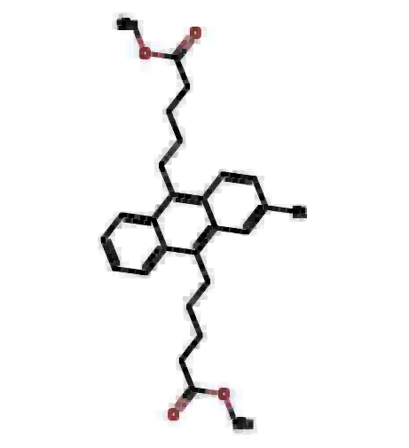 CCc1ccc2c(CCCCC(=O)OC(C)(C)C)c3ccccc3c(CCCCC(=O)OC(C)(C)C)c2c1